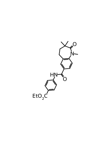 CCOC(=O)c1ccc(NC(=O)c2ccc3c(c2)CCC(C)(C)C(=O)N3C)cc1